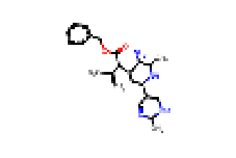 C=C(C)C(C(=O)OCc1ccccc1)C1CC(C2C=NC(C)NC2)NC(C)C1N